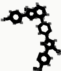 COc1ccc(-c2[nH]c(C3CCN(c4ncnc5[nH]c(-c6ccc(F)cc6)cc45)CC3)nc2C(F)(F)F)cc1